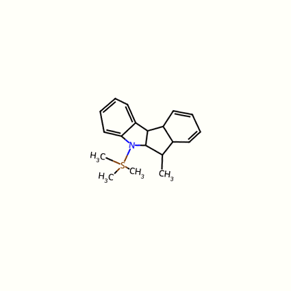 CC1C2C=CC=CC2C2c3ccccc3N(S(C)(C)C)C12